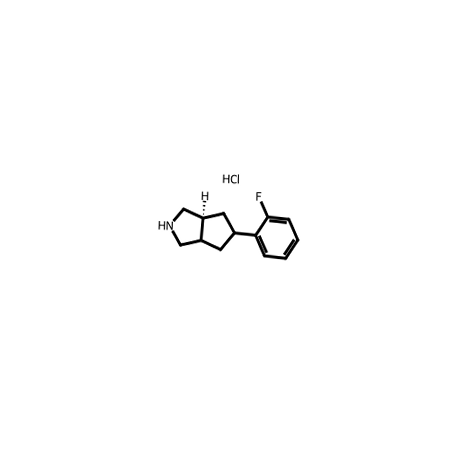 Cl.Fc1ccccc1C1CC2CNC[C@H]2C1